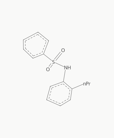 CCCc1ccccc1NS(=O)(=O)c1ccccc1